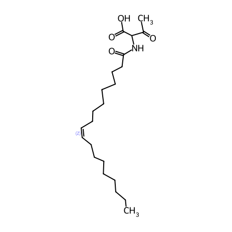 CCCCCCCC/C=C\CCCCCCCC(=O)NC(C(C)=O)C(=O)O